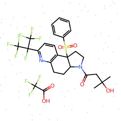 CC(C)(O)CC(=O)N1CCC2(S(=O)(=O)c3ccccc3)c3ccc(C(F)(C(F)(F)F)C(F)(F)F)nc3CCC12.O=C(O)C(F)(F)F